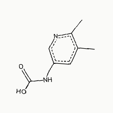 Cc1cc(NC(=O)O)cnc1C